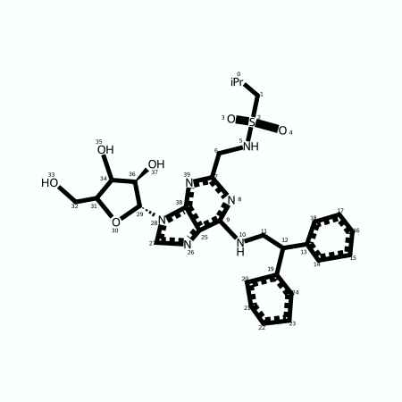 CC(C)CS(=O)(=O)NCc1nc(NCC(c2ccccc2)c2ccccc2)c2ncn([C@@H]3OC(CO)C(O)[C@H]3O)c2n1